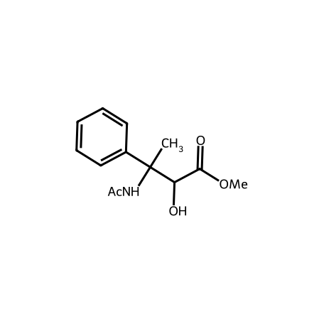 COC(=O)C(O)C(C)(NC(C)=O)c1ccccc1